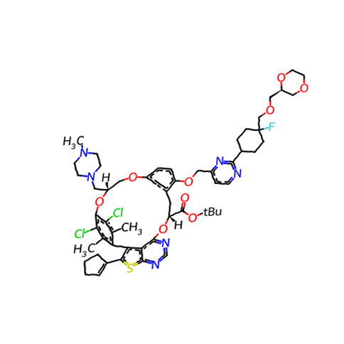 Cc1c(Cl)c2c(Cl)c(C)c1-c1c(C3=CCCC3)sc3ncnc(c13)O[C@@H](C(=O)OC(C)(C)C)Cc1cc(ccc1OCc1ccnc(C3CCC(F)(COC[C@@H]4COCCO4)CC3)n1)OC[C@@H](CN1CCN(C)CC1)O2